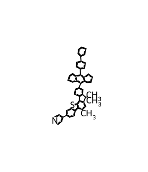 Cc1cc2c(c3sc4cc(-c5ccncc5)ccc4c13)-c1ccc(-c3c4ccccc4c(-c4ccc(-c5ccccc5)cc4)c4ccccc34)cc1C2(C)C